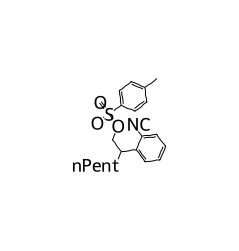 CCCCCC(COS(=O)(=O)c1ccc(C)cc1)c1ccccc1C#N